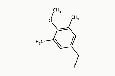 COc1c(C)cc(CI)cc1C